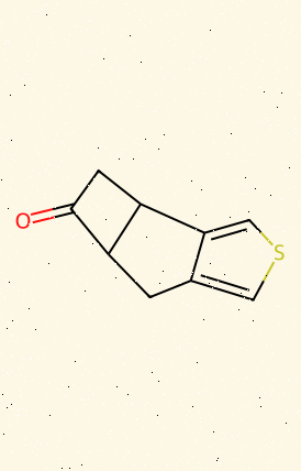 O=C1CC2c3cscc3CC12